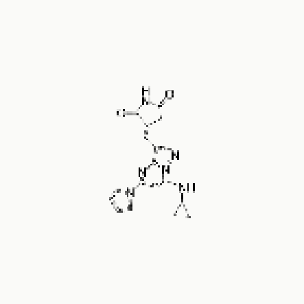 O=C1C/C(=C\c2cnn3c(NC4CC4)cc(-n4cccc4)nc23)C(=O)N1